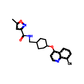 Cc1cc(C(=O)NCC2CCC(Oc3ccnc4c(C#N)cccc34)CC2)no1